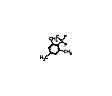 Cc1cc(C)c([Si](F)(F)F)c(C)c1